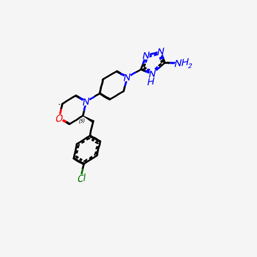 Nc1nnc(N2CCC(N3C[CH]OC[C@@H]3Cc3ccc(Cl)cc3)CC2)[nH]1